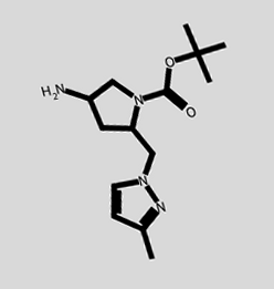 Cc1ccn(CC2CC(N)CN2C(=O)OC(C)(C)C)n1